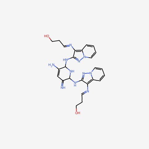 N=C1C=C(N)C(Nc2nn3ccccc3c2N=CCCO)NC1Nc1nn2ccccc2c1N=CCCO